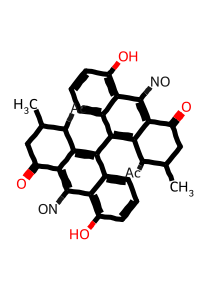 CC(=O)C1c2c(c(N=O)c3c(O)cccc3c2-c2c3c(c(N=O)c4c(O)cccc24)C(=O)CC(C)C3C(C)=O)C(=O)CC1C